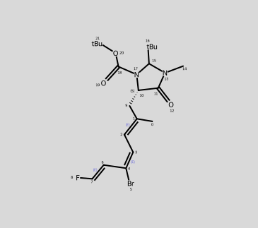 C\C(=C/C=C(Br)\C=C\F)C[C@H]1C(=O)N(C)C(C(C)(C)C)N1C(=O)OC(C)(C)C